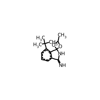 CC1OC2(NC(=N)c3cccc(C(C)(C)C)c32)O1